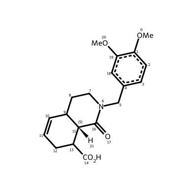 COc1ccc(CN2CCC3C=CCC(C(=O)O)[C@H]3C2=O)cc1OC